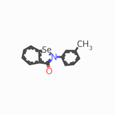 Cc1cccc(-n2[se]c3ccccc3c2=O)c1